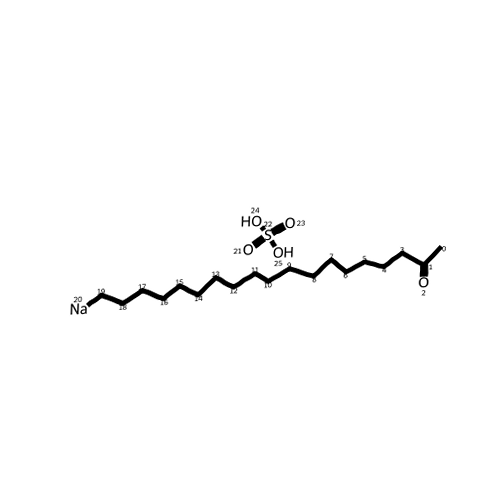 CC(=O)CCCCCCCCCCCCCCCC[CH2][Na].O=S(=O)(O)O